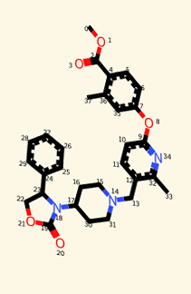 COC(=O)c1ccc(Oc2ccc(CN3CCC(N4C(=O)OCC4c4ccccc4)CC3)c(C)n2)cc1C